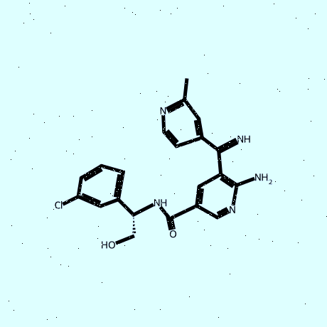 Cc1cc(C(=N)c2cc(C(=O)N[C@H](CO)c3cccc(Cl)c3)cnc2N)ccn1